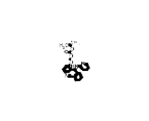 CC(C)OC(=O)OCOc1ccccc1C(Nc1ccccn1)c1ccccc1C#N